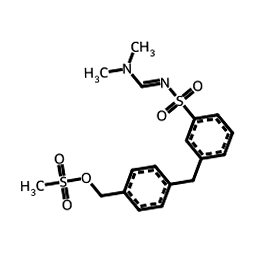 CN(C)C=NS(=O)(=O)c1cccc(Cc2ccc(COS(C)(=O)=O)cc2)c1